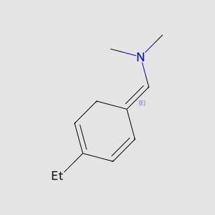 CCC1=CC/C(=C\N(C)C)C=C1